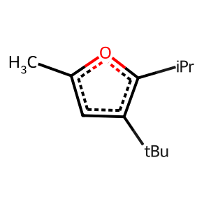 Cc1cc(C(C)(C)C)c(C(C)C)o1